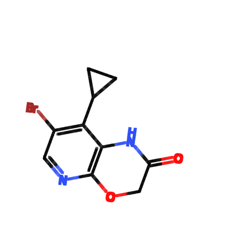 O=C1COc2ncc(Br)c(C3CC3)c2N1